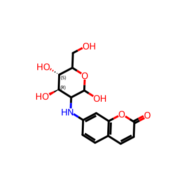 O=c1ccc2ccc(NC3C(O)OC(CO)[C@@H](O)[C@@H]3O)cc2o1